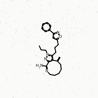 C=C1CCCCC/N=C(/N)c2nn(CCC)c(CCCc3cc(-c4ccccc4)no3)c21